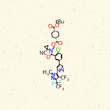 Cn1nc(C(F)(F)C(F)(F)F)c(C(F)(F)F)c1-n1cc(-c2ccc(Cl)c(C(=O)N(COC(=O)[C@H]3CC[C@H](C(=O)OC(C)(C)C)CC3)C3(C#N)CC3)c2)cn1